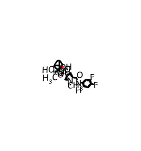 C[C@H](O)[C@@H](O)C1(O)C2CC1CC(S(=O)(=O)c1cc(C(=O)Nc3ccc(F)c(F)c3)n(C)c1)C2